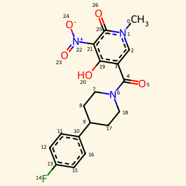 Cn1cc(C(=O)N2CCC(c3ccc(F)cc3)CC2)c(O)c([N+](=O)[O-])c1=O